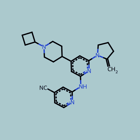 C=C1CCCN1c1cc(C2CCN(C3CCC3)CC2)cc(Nc2cc(C#N)ccn2)n1